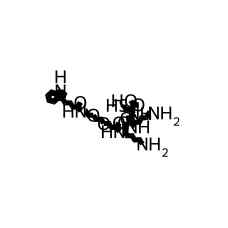 NCCCCC(NC(=O)CCOCCOCCNC(=O)CCCc1c[nH]c2ccccc12)C(=O)NC(CCCCN)C(=O)NC(CS)C(=O)O